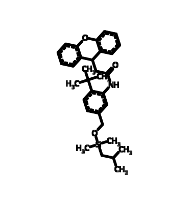 CC(C)C[Si](C)(C)OCc1ccc(C(C)(C)C)c(NC(=O)CC2c3ccccc3Oc3ccccc32)c1